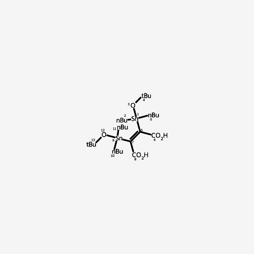 CCC[CH2][Sn]([CH2]CCC)([O]C(C)(C)C)/[C](C(=O)O)=[C](/C(=O)O)[Sn]([CH2]CCC)([CH2]CCC)[O]C(C)(C)C